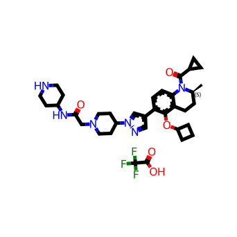 C[C@H]1CCc2c(ccc(-c3cnn(C4CCN(CC(=O)NC5CCNCC5)CC4)c3)c2OC2CCC2)N1C(=O)C1CC1.O=C(O)C(F)(F)F